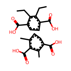 CCc1c(C(=O)O)ccc(C(=O)O)c1CC.Cc1ccc(C(=O)O)c(C)c1C(=O)O